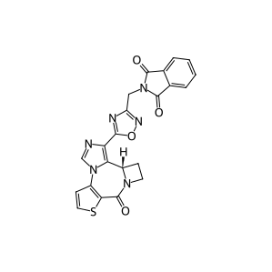 O=C1c2ccccc2C(=O)N1Cc1noc(-c2ncn3c2[C@@H]2CCN2C(=O)c2sccc2-3)n1